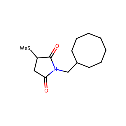 CSC1CC(=O)N(CC2CCCCCCC2)C1=O